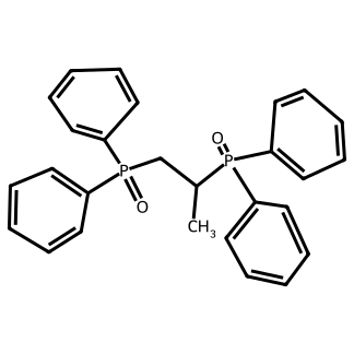 CC(CP(=O)(c1ccccc1)c1ccccc1)P(=O)(c1ccccc1)c1ccccc1